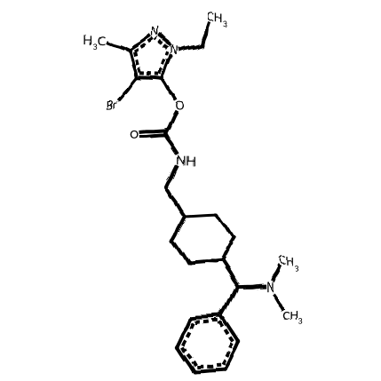 CCn1nc(C)c(Br)c1OC(=O)NCC1CCC(C(c2ccccc2)N(C)C)CC1